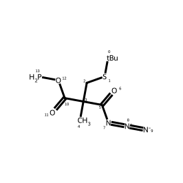 CC(C)(C)SCC(C)(C(=O)N=[N+]=[N-])C(=O)OP